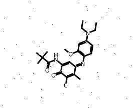 CCN(CC)c1ccc(N=C2C=C(NC(=O)C(C)(C)C)C(=O)C(Cl)=C2C)c(OC)c1